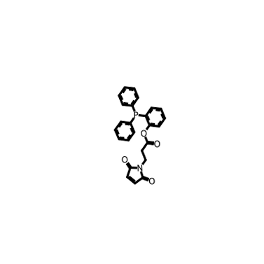 O=C(CCN1C(=O)C=CC1=O)Oc1ccccc1P(c1ccccc1)c1ccccc1